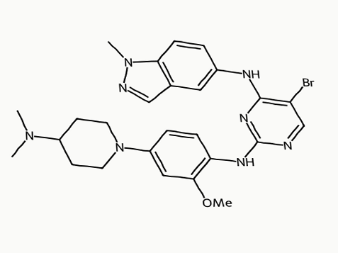 COc1cc(N2CCC(N(C)C)CC2)ccc1Nc1ncc(Br)c(Nc2ccc3c(cnn3C)c2)n1